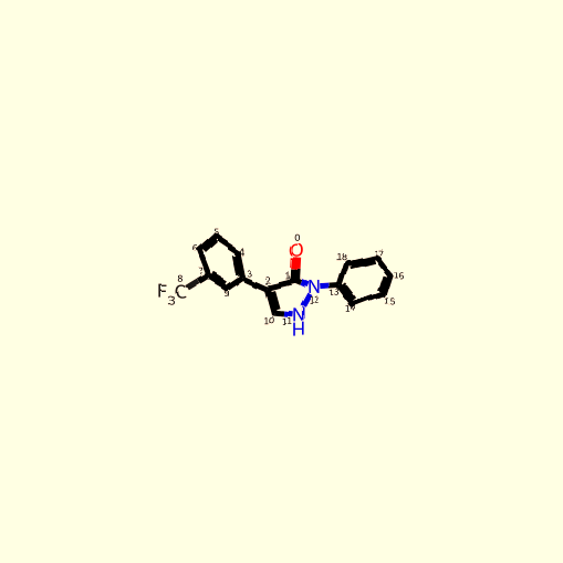 O=c1c(-c2cccc(C(F)(F)F)c2)c[nH]n1-c1ccccc1